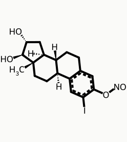 C[C@]12CC[C@@H]3c4cc(I)c(ON=O)cc4CC[C@H]3[C@@H]1C[C@@H](O)[C@@H]2O